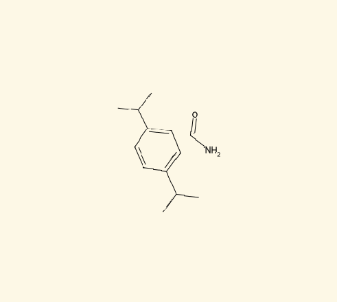 CC(C)c1ccc(C(C)C)cc1.NC=O